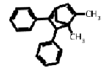 CC1=CC2=C(c3ccccc3)C(c3ccccc3)C1(C)C2